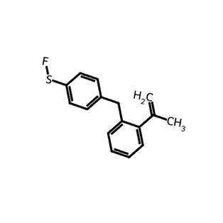 C=C(C)c1ccccc1Cc1ccc(SF)cc1